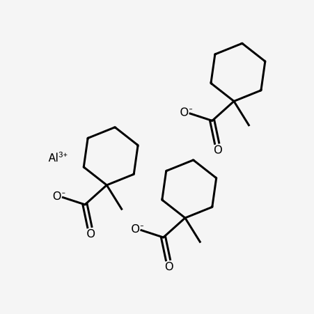 CC1(C(=O)[O-])CCCCC1.CC1(C(=O)[O-])CCCCC1.CC1(C(=O)[O-])CCCCC1.[Al+3]